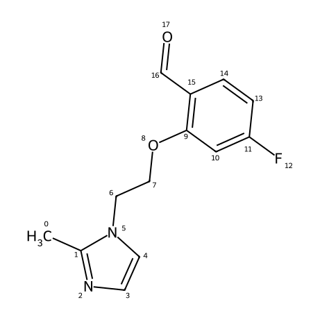 Cc1nccn1CCOc1cc(F)ccc1C=O